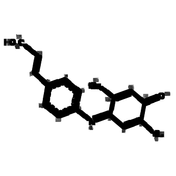 CC(C)(C)C1=CC(=Nc2ccc(C=CC(=O)O)cc2)C(C(C)(C)C)=CC1=O